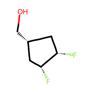 OC[C@H]1C[C@@H](F)[C@@H](F)C1